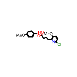 COc1ccc(COC(O)CCCc2nc(Cl)ccc2OC)cc1